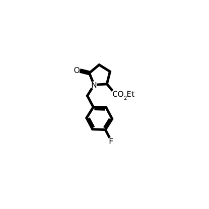 CCOC(=O)C1CCC(=O)N1Cc1ccc(F)cc1